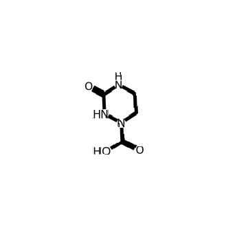 O=C1NCCN(C(=O)O)N1